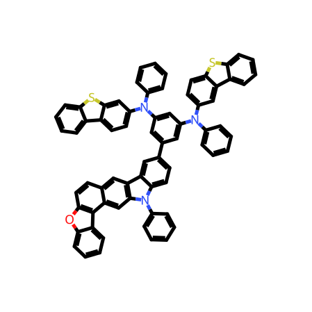 c1ccc(N(c2cc(-c3ccc4c(c3)c3cc5ccc6oc7ccccc7c6c5cc3n4-c3ccccc3)cc(N(c3ccccc3)c3ccc4sc5ccccc5c4c3)c2)c2ccc3c(c2)sc2ccccc23)cc1